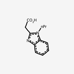 CCCn1c(CC(=O)O)nc2ccccc21